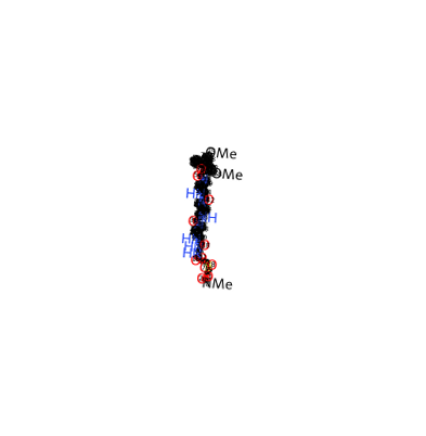 CNC(=O)OCCS(=O)(=O)CCOC(=O)NCNC(=O)c1cc2c3c(ccc2[nH]1)N(C(=O)c1cc2c4c(ccc2[nH]1)N(C(=O)c1cc2c5c(ccc2[nH]1)N(C(=O)COC(c1ccccc1)(c1ccc(OC)cc1)c1ccc(OC)cc1)CC5)CC4)CC3